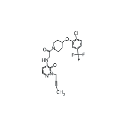 CC#CCn1nccc(NCC(=O)N2CCC(Oc3cc(C(F)(F)F)ccc3Cl)CC2)c1=O